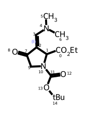 CCOC(=O)C1/C(=C\N(C)C)C(=O)CN1C(=O)OC(C)(C)C